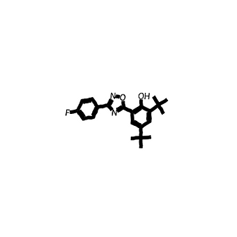 CC(C)(C)c1cc(-c2nc(-c3ccc(F)cc3)no2)c(O)c(C(C)(C)C)c1